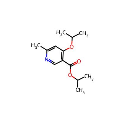 Cc1cc(OC(C)C)c(C(=O)OC(C)C)cn1